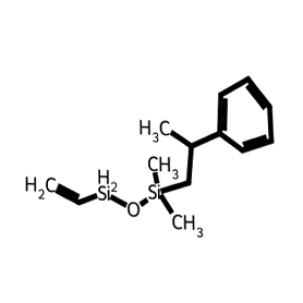 C=C[SiH2]O[Si](C)(C)CC(C)c1ccccc1